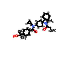 CC(=O)OCC(=O)N(C)[C@]1(c2ccccc2)CC[C@@H](N(C(=O)c2ccc([C@](C)(O)C(F)(F)F)cc2)C2CC2)CC1